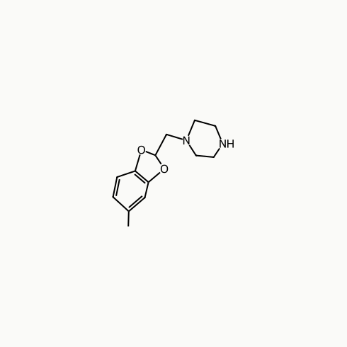 Cc1ccc2c(c1)OC(CN1CCNCC1)O2